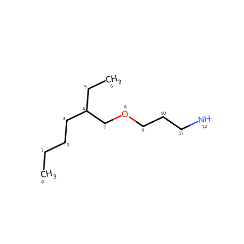 CCCCC(CC)COCCC[NH]